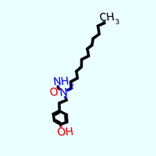 CCCCCCCCCCCCCCN(CCc1ccc(O)cc1)C(N)=O